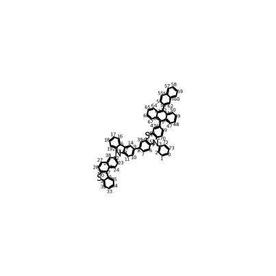 c1ccc(N2c3ccc(-c4ccc5c(c4)c4ccccc4n5-c4ccc5c(ccc6sc7ccccc7c65)c4)cc3Sc3cc(-c4c5ccccc5c(-c5ccc6ccccc6c5)c5ccccc45)ccc32)cc1